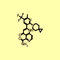 Cc1nc(N2CCC3(CC2)CC3)c(-c2cc(=O)c3c(C(N)=O)nccc3[nH]2)cc1C(F)(F)F